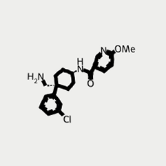 COc1ccc(C(=O)N[C@H]2CC[C@](CN)(c3cccc(Cl)c3)CC2)cn1